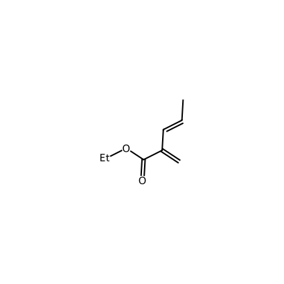 C=C(C=CC)C(=O)OCC